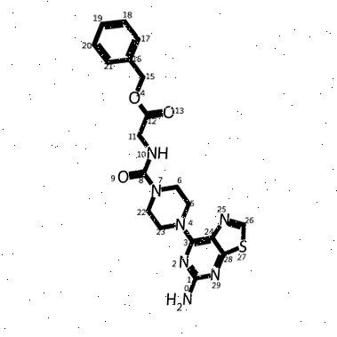 Nc1nc(N2CCN(C(=O)NCC(=O)OCc3ccccc3)CC2)c2ncsc2n1